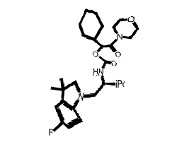 CC(C)[C@@H](CN1CC(C)(C)c2cc(F)ccc21)NC(=O)OC(C(=O)N1CCOCC1)C1CCCCC1